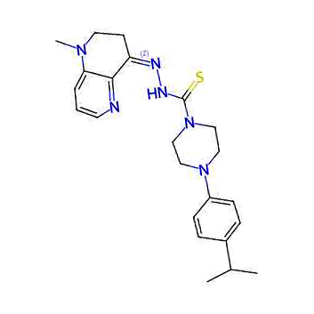 CC(C)c1ccc(N2CCN(C(=S)N/N=C3/CCN(C)c4cccnc43)CC2)cc1